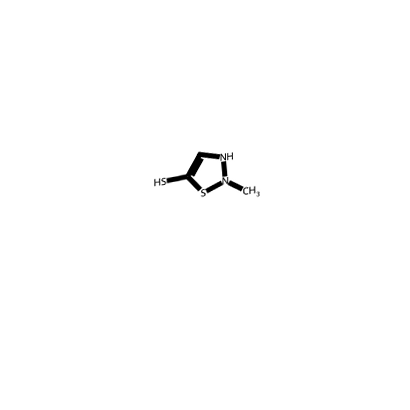 CN1NC=C(S)S1